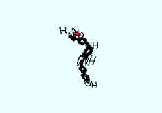 NC(=O)c1nccn1-c1ccc(Nc2ccc(NC(=O)c3ccc(N4CCC(O)CC4)cc3)cc2)cc1